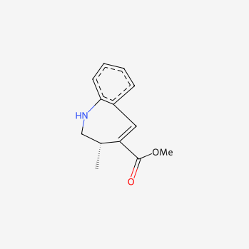 COC(=O)C1=Cc2ccccc2NC[C@H]1C